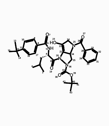 CC(C)C[C@H](NC(=O)c1ccc(C(C)(C)C)cc1)C(=O)N1C2=C(O)CN(C(=O)c3ccccc3)C2CN1C(=O)OC(C)(C)C